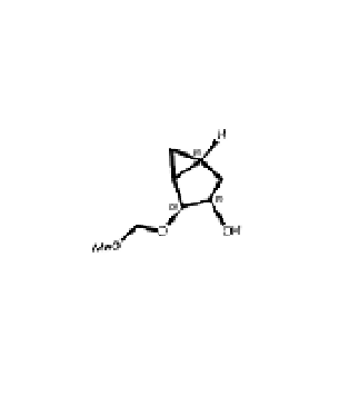 COCO[C@H]1C2C[C@@H]2C[C@H]1O